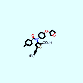 CC1=CC[C@@H](C(=O)N(c2cc(C#CC(C)(C)C)sc2C(=O)O)[C@H]2CC[C@H](O[C@H]3CCOC3)CC2)CC1